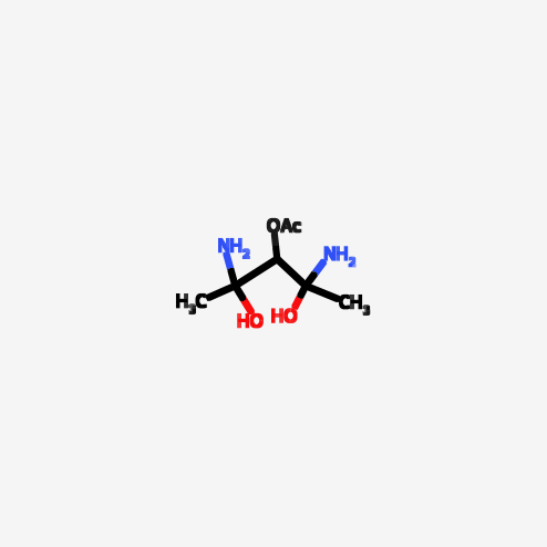 CC(=O)OC(C(C)(N)O)C(C)(N)O